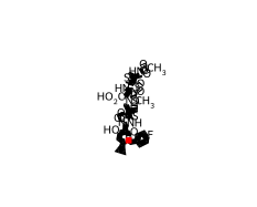 CS(=O)(=O)NCc1csc2c1S(=O)(=O)N=C(C(C(=O)O)N(Cc1csc3c1S(=O)(=O)N=C(C1=C(O)CC(C4CC4)N(Cc4ccc(F)cc4)C1=O)N3)S(C)(=O)=O)N2